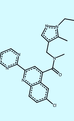 CCn1ncc(CN(C)C(=O)c2cc(-c3ncccn3)nc3ccc(Cl)cc23)c1C